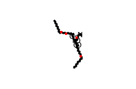 C=C(CCCCCCC/C=C\CCCCCCCC)OCCN(CCOC(=O)CCCCCCC/C=C\CCCCCCCC)C(=O)SCCN(C)C